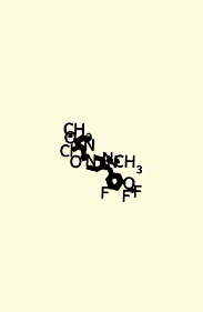 COc1ccnc(C(=O)N2CCc3c(nn(C)c3-c3cc(F)cc(OC(F)F)c3)C2)c1Cl